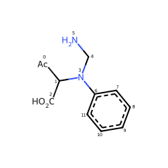 CC(=O)C(C(=O)O)N(CN)c1ccccc1